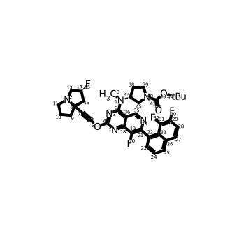 CN(c1nc(OC#CC23CCCN2C[C@H](F)C3)nc2c(F)c(-c3cccc4ccc(F)c(F)c34)ncc12)[C@@H]1CCN(C(=O)OC(C)(C)C)C1